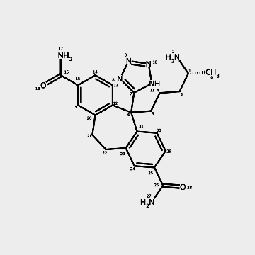 C[C@@H](N)CCCC1(c2nnn[nH]2)c2ccc(C(N)=O)cc2CCc2cc(C(N)=O)ccc21